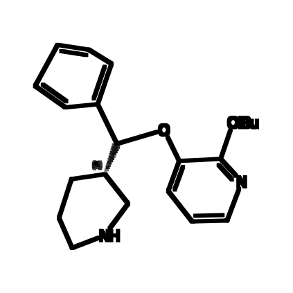 CC(C)COc1ncccc1OC(c1ccccc1)[C@H]1CCCNC1